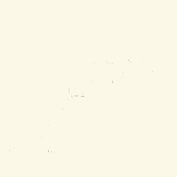 COc1ccc(CCNC(=S)N2C[C@@H]3C[C@H]2[C@H]2C(=O)N(c4cccc(C(F)(F)F)c4)C(=O)N32)cc1OC